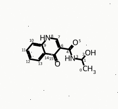 CC(O)NC(=O)c1c[nH]c2ccccc2c1=O